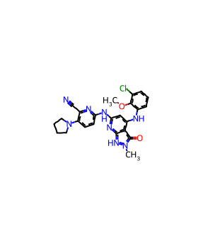 COc1c(Cl)cccc1Nc1cc(Nc2ccc(N3CCCC3)c(C#N)n2)nc2[nH]n(C)c(=O)c12